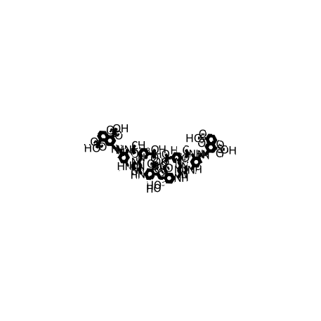 CC(=O)Nc1cc(Nc2nc(Nc3ccc(C=Cc4ccc(Nc5nc(Nc6ccc(N=Nc7cc(S(=O)(=O)O)c8cccc(S(=O)(=O)O)c8c7)c(NC(C)=O)c6)nc(-[n+]6cccc(C(=O)O)c6)n5)cc4S(=O)(=O)O)c(S(=O)(=O)O)c3)nc(-[n+]3cccc(C(=O)O)c3)n2)ccc1N=Nc1cc(S(=O)(=O)O)c2cccc(S(=O)(=O)O)c2c1.[OH-].[OH-]